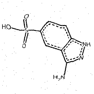 Nc1n[nH]c2ccc(S(=O)(=O)O)cc12